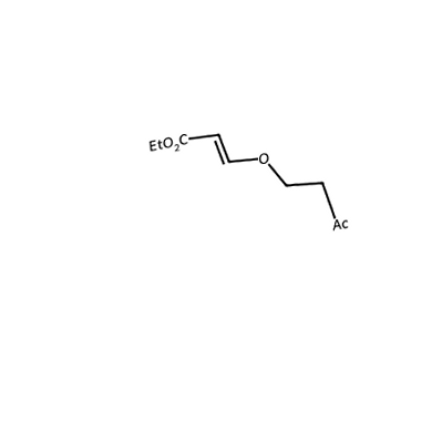 CCOC(=O)C=COCCC(C)=O